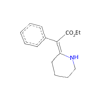 CCOC(=O)C(=C1CCCCN1)c1ccccc1